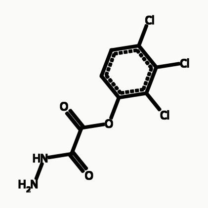 NNC(=O)C(=O)Oc1ccc(Cl)c(Cl)c1Cl